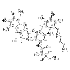 NCCCNC[C@H]1O[C@H](O[C@H]2[C@H](O[C@@H]3O[C@H](CO)[C@@H](O[C@H]4O[C@@H](CN)[C@@H](O)[C@H](O)[C@H]4N)[C@H]3O)[C@@H](O)[C@H](NC(=O)[C@@H](O)C(F)(F)CN)C[C@@H]2N)[C@H](N)[C@@H](O)[C@@H]1O